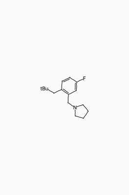 CC(C)(C)Cc1ccc(F)cc1CN1CCCC1